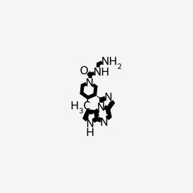 C[C@@H]1CCN(C(=O)NCN)C[C@@H]1c1ncc2cnc3[nH]ccc3n12